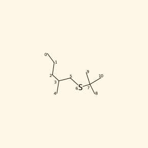 CCCC(C)CSC(C)(C)C